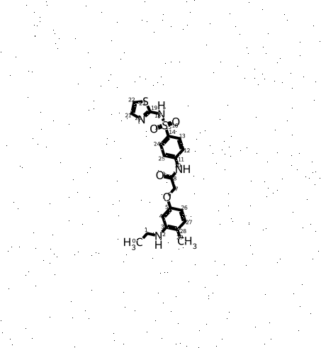 CCNc1cc(OCC(=O)Nc2ccc(S(=O)(=O)Nc3nccs3)cc2)ccc1C